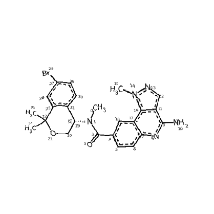 CN(C(=O)c1ccc2nc(N)c3cnn(C)c3c2c1)[C@@H]1COC(C)(C)c2cc(Br)ccc21